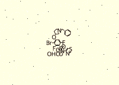 O=CON(c1cscn1)S(=O)(=O)c1c(F)cc(O[C@H]2CCN(Cc3ccccc3)C2)c(Br)c1F